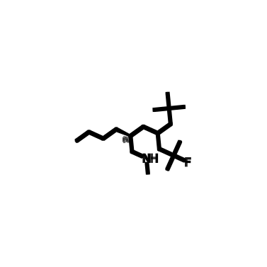 CCCC[C@H](CNC)CC(CC(C)(C)C)CC(C)(C)F